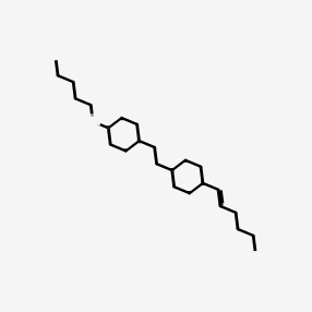 CCCCC=CC1CCC(CCC2CCC(OCCCCC)CC2)CC1